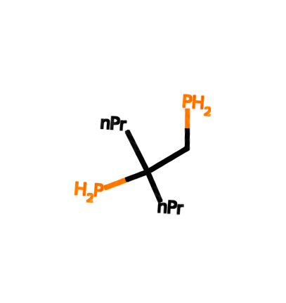 CCCC(P)(CP)CCC